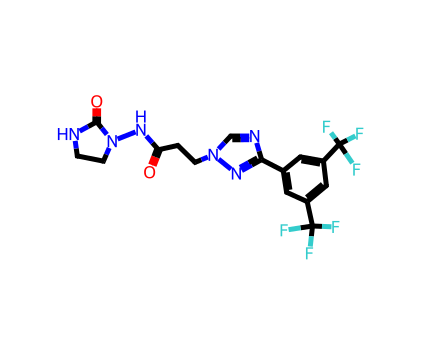 O=C(CCn1cnc(-c2cc(C(F)(F)F)cc(C(F)(F)F)c2)n1)NN1CCNC1=O